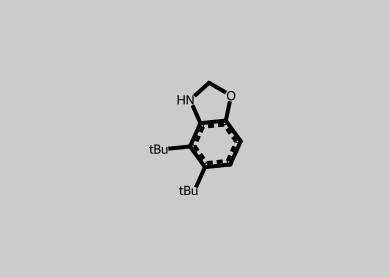 CC(C)(C)c1ccc2c(c1C(C)(C)C)NCO2